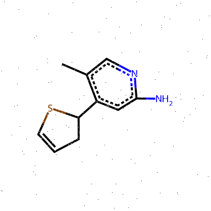 Cc1cnc(N)cc1C1CC=CS1